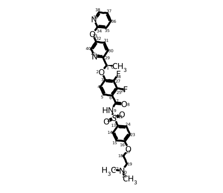 C[C@@H](Oc1ccc(C(=O)NS(=O)(=O)c2ccc(OCCN(C)C)cc2)c(F)c1F)c1ccc(Oc2ccccn2)cn1